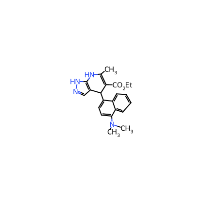 CCOC(=O)C1=C(C)Nc2[nH]ncc2C1c1ccc(N(C)C)c2ccccc12